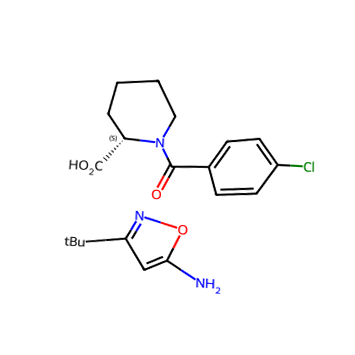 CC(C)(C)c1cc(N)on1.O=C(O)[C@@H]1CCCCN1C(=O)c1ccc(Cl)cc1